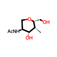 CC(=O)N[C@H]1CO[C@H](CO)[C@H](C)[C@@H]1O